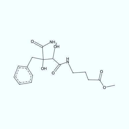 COC(=O)CCCNC(=O)C(O)C(O)(Cc1ccccc1)C(N)=O